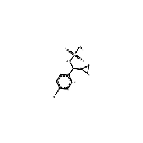 CS(=O)(=O)OC(c1ccc(F)cn1)C1CC1